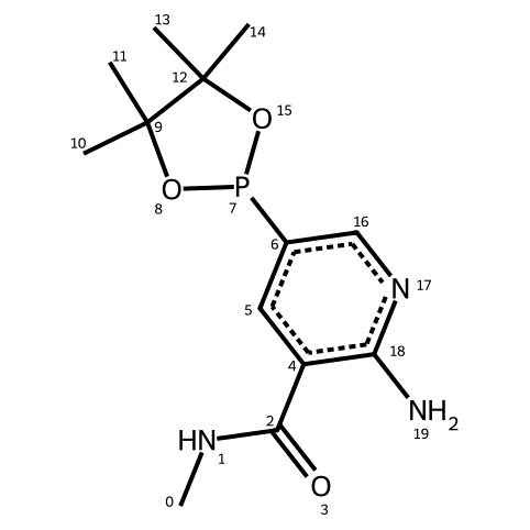 CNC(=O)c1cc(P2OC(C)(C)C(C)(C)O2)cnc1N